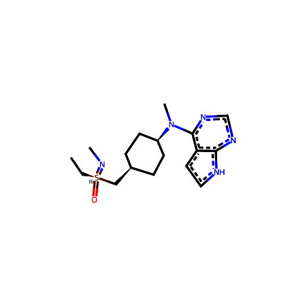 CC[S@](=O)(C[C@H]1CC[C@@H](N(C)c2ncnc3[nH]ccc23)CC1)=NC